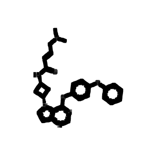 CN(C)CC=CC(=O)N[C@H]1C[C@H](n2ccc3ncnc(Oc4ccc(Oc5ccccc5)cc4)c32)C1